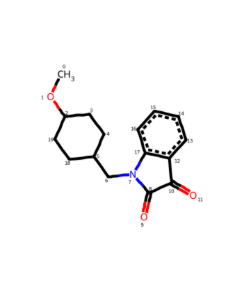 COC1CCC(CN2C(=O)C(=O)c3ccccc32)CC1